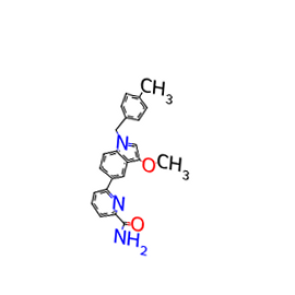 COc1cn(Cc2ccc(C)cc2)c2ccc(-c3cccc(C(N)=O)n3)cc12